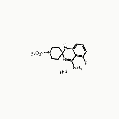 CCOC(=O)N1CCC2(CC1)N=C(N)c1c(F)cccc1N2.Cl